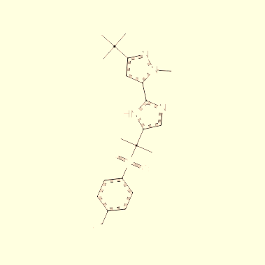 Cn1nc(C(C)(C)C)cc1-c1ncc(C(C)(C)S(=O)(=O)c2ccc(Cl)cc2)[nH]1